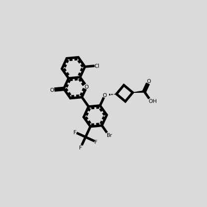 O=c1cc(-c2cc(C(F)(F)F)c(Br)cc2O[C@H]2C[C@H](C(=O)O)C2)oc2c(Cl)cccc12